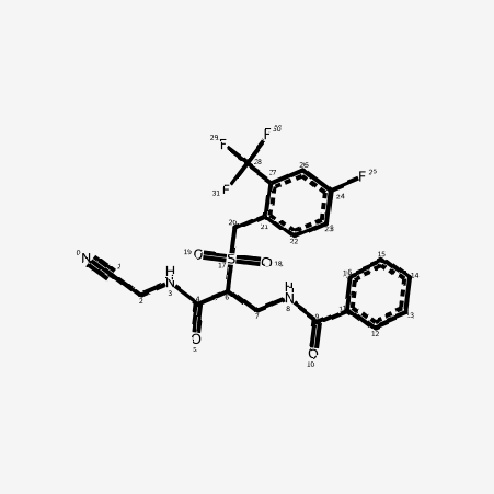 N#CCNC(=O)C(CNC(=O)c1ccccc1)S(=O)(=O)Cc1ccc(F)cc1C(F)(F)F